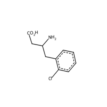 NC(CC(=O)O)Cc1ccccc1Cl